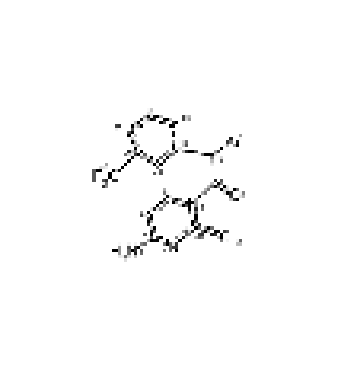 CC(=O)C(C(=O)n1ccc(N)nc1=O)c1cccc(C(F)(F)F)c1